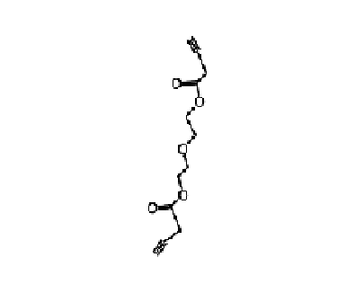 C#CCC(=O)OCCOCCOC(=O)CC#C